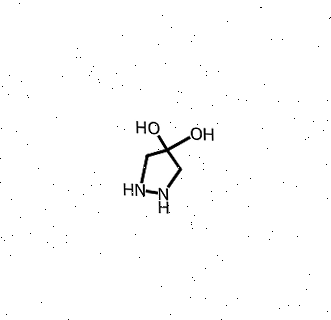 OC1(O)CNNC1